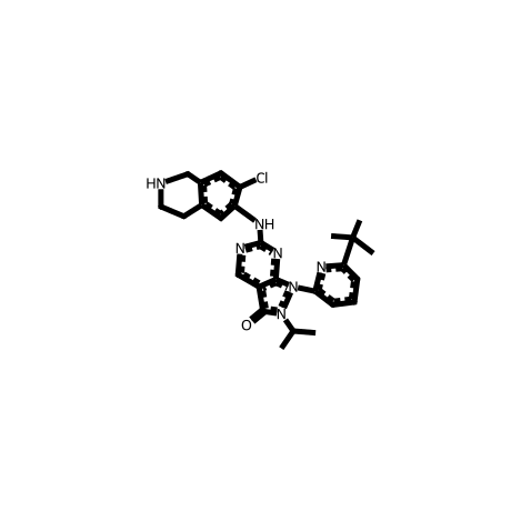 CC(C)n1c(=O)c2cnc(Nc3cc4c(cc3Cl)CNCC4)nc2n1-c1cccc(C(C)(C)C)n1